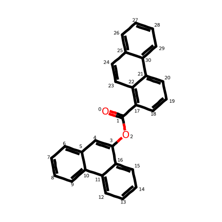 O=C(Oc1cc2ccccc2c2ccccc12)c1cccc2c1ccc1ccccc12